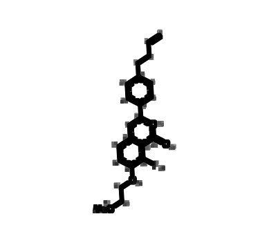 C=CCCc1ccc(-c2cc3ccc(OCCOC)c(F)c3c(=O)o2)cc1